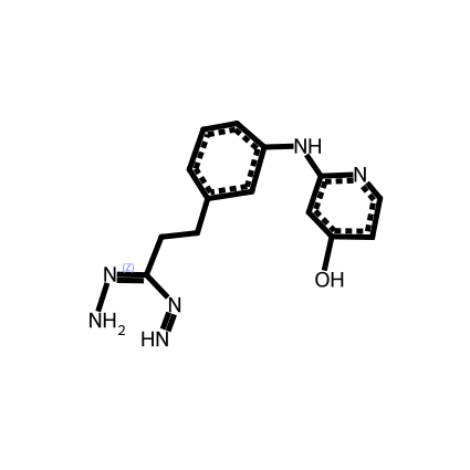 N=N/C(CCc1cccc(Nc2cc(O)ccn2)c1)=N\N